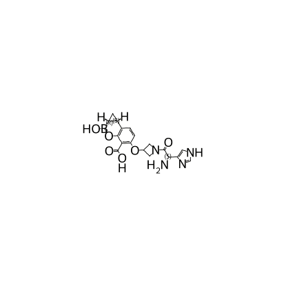 N[C@H](C(=O)N1CC(Oc2ccc3c(c2C(=O)O)OB(O)[C@@H]2C[C@H]32)C1)c1c[nH]cn1